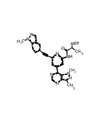 CNC(C)C(=O)Nc1cc(-c2ncnc3c(C)nn(C)c23)cc(C#Cc2ccc3c(cnn3C)c2)n1